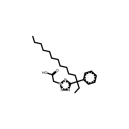 CCCCCCCCCCCC(CC)(c1ccccc1)c1nnn(CC(=O)O)n1